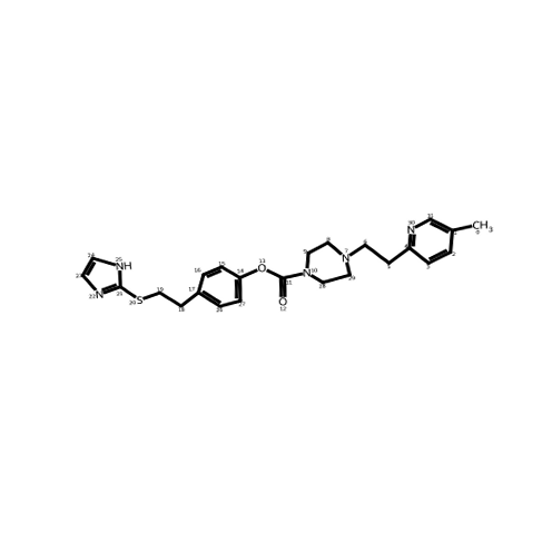 Cc1ccc(CCN2CCN(C(=O)Oc3ccc(CCSc4ncc[nH]4)cc3)CC2)nc1